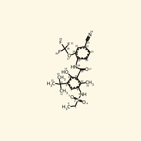 CCS(=O)(=O)Nc1cc(C(C)(C)C)c(O)c(C(=O)Nc2ccc(C#N)cc2OC(F)(F)F)c1C